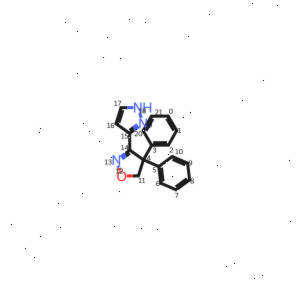 c1ccc(C2(c3ccccc3)CON=C2c2cc[nH]n2)cc1